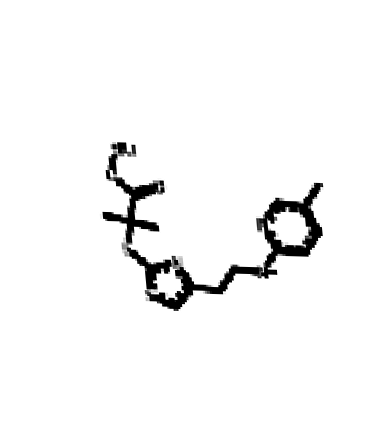 Cc1ccc(NCCc2csc(SC(C)(C)C(=O)OC(C)(C)C)n2)nc1